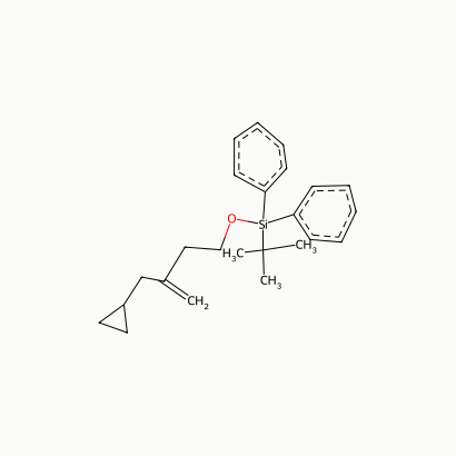 C=C(CCO[Si](c1ccccc1)(c1ccccc1)C(C)(C)C)CC1CC1